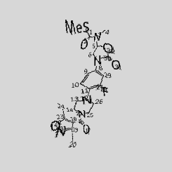 CSC(=O)N(C)C1CN(c2ccc(N3CCN(C(=O)c4c(C)noc4C)CC3)c(F)c2)C(=O)O1